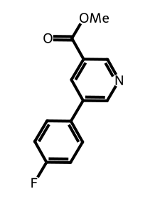 COC(=O)c1cncc(-c2ccc(F)cc2)c1